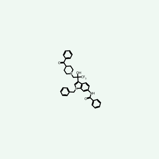 O=C(Nc1ccc2c(C(O)(CN3CCC(C(=O)c4ccccc4)CC3)C(F)(F)F)cn(Cc3ccccc3)c2c1)c1ccccc1